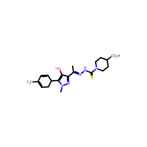 C/C(=N\NC(=S)N1CCC(C(=O)O)CC1)c1nn(C)c(C2C=CC(C(F)(F)F)=CC2)c1O